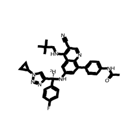 [2H][C@](Nc1cc(-c2ccc(NC(C)=O)cc2)c2ncc(C#N)c(NCC(C)(C)C)c2c1)(c1ccc(F)cc1)c1cn(C2CC2)nn1